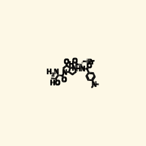 CC(C)C[C@H](NC(=O)c1ccc(N(C)C)cc1)C(=O)N1CCC2[C@H]1C(=O)CN2C(=O)[C@@H](N)[C@H](C)O